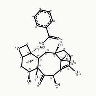 CC(=O)O[C@@]12COC1C[C@H](O)[C@@]1(C)C(=O)[C@H](O)C3=C(C)CC[C@@](O)([C@@H](OC(=O)c4ccccc4)[C@@H]12)C3(C)C